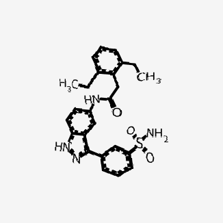 CCc1cccc(CC)c1CC(=O)Nc1ccc2[nH]nc(-c3cccc(S(N)(=O)=O)c3)c2c1